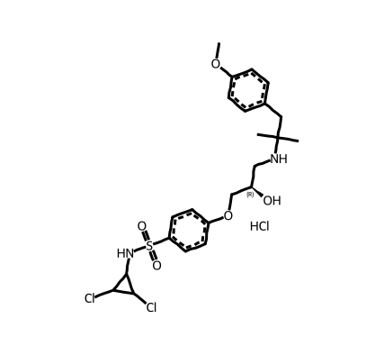 COc1ccc(CC(C)(C)NC[C@@H](O)COc2ccc(S(=O)(=O)NC3C(Cl)C3Cl)cc2)cc1.Cl